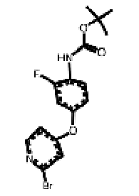 CC(C)(C)OC(=O)Nc1ccc(Oc2ccnc(Br)c2)cc1F